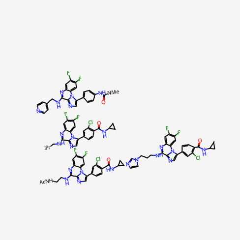 CC(=O)NCCNc1nc2cc(F)c(F)cc2n2c(-c3ccc(C(=O)NC4CC4)c(Cl)c3)cnc12.CC(C)CNc1nc2cc(F)c(F)cc2n2c(-c3ccc(C(=O)NC4CC4)c(Cl)c3)cnc12.CNC(=O)Nc1ccc(-c2cnc3c(NCc4ccncc4)nc4cc(F)c(F)cc4n23)cc1.O=C(NC1CC1)c1ccc(-c2cnc3c(NCCCn4ccnc4)nc4cc(F)c(F)cc4n23)cc1Cl